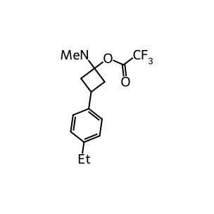 CCc1ccc(C2CC(NC)(OC(=O)C(F)(F)F)C2)cc1